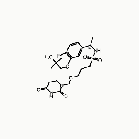 C[C@@H](NS(=O)(=O)CCCOCN1CCC(=O)NC1=O)c1ccc(F)c(OCC(C)(C)O)c1